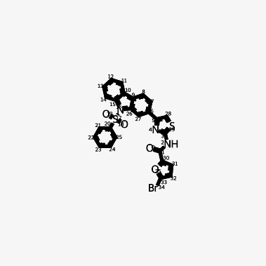 O=C(Nc1nc(-c2ccc3c4ccccc4n(S(=O)(=O)c4ccccc4)c3c2)cs1)c1ccc(Br)o1